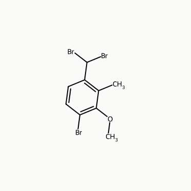 COc1c(Br)ccc(C(Br)Br)c1C